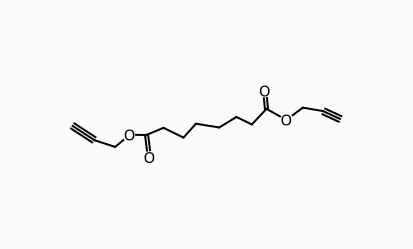 C#CCOC(=O)CCCCCCC(=O)OCC#C